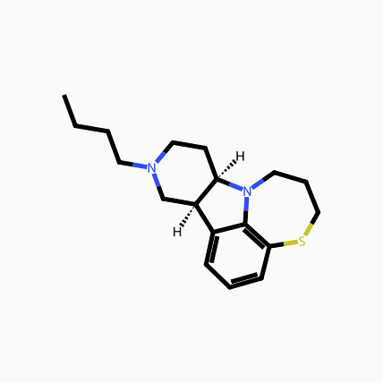 CCCCN1CC[C@@H]2[C@H](C1)c1cccc3c1N2CCCS3